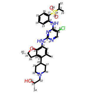 Cc1cc(Nc2ncc(Cl)c(Nc3ccccc3S(=O)(=O)C(C)C)n2)c2c(c1C1CCN(C[C@H](C)O)CC1)C[C@H](C)O2